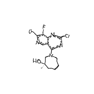 C[C@@]1(O)CCCCN(c2nc(Cl)nc3c(F)c(Cl)ncc23)C1